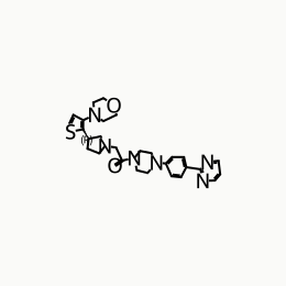 O=C(CN1CC[C@@H](c2sccc2N2CCOCC2)C1)N1CCN(c2ccc(-c3ncccn3)cc2)CC1